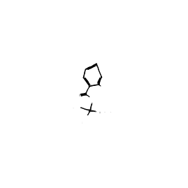 CCCCCCC(C)(CCC)OC(=O)c1ccccc1C(=O)O